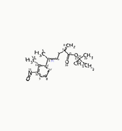 C=C(C/C=C(\C)c1cccc(N=O)c1C)C(=O)OC(C)(C)C